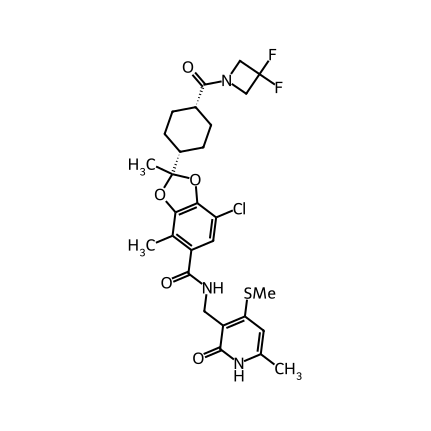 CSc1cc(C)[nH]c(=O)c1CNC(=O)c1cc(Cl)c2c(c1C)OC(C)([C@H]1CC[C@@H](C(=O)N3CC(F)(F)C3)CC1)O2